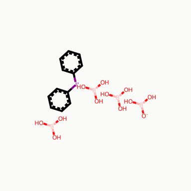 OB(O)O.OB(O)O.OB(O)O.[O-]B(O)O.c1ccc([I+]c2ccccc2)cc1